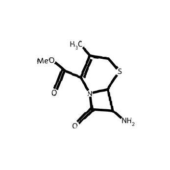 COC(=O)C1=C(C)CSC2C(N)C(=O)N12